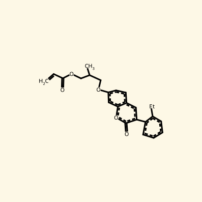 C=CC(=O)OCC(C)COc1ccc2cc(-c3ccccc3CC)c(=O)oc2c1